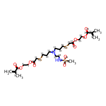 C=C(C)C(=O)OCCOC(=O)CSCCCN(CCCSCC(=O)OCCOC(=O)C(=C)C)CCNS(C)(=O)=O